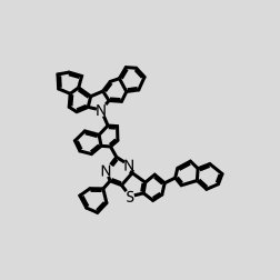 c1ccc(-c2nc(-c3ccc(-n4c5cc6ccccc6cc5c5c6ccccc6ccc54)c4ccccc34)nc3c2sc2ccc(-c4ccc5ccccc5c4)cc23)cc1